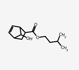 CC(C)CCOC(=O)C1CC2C=CC1C2O